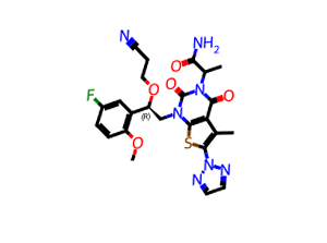 COc1ccc(F)cc1[C@H](Cn1c(=O)n(C(C)C(N)=O)c(=O)c2c(C)c(-n3nccn3)sc21)OCCC#N